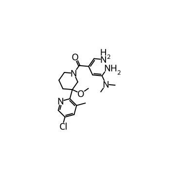 COC1(c2ncc(Cl)cc2C)CCCN(C(=O)C(=C/N)/C=C(\N)N(C)C)C1